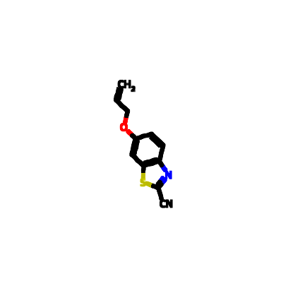 C=CCOc1ccc2nc(C#N)sc2c1